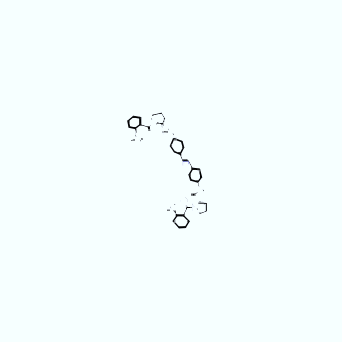 CN(C)c1ccccc1C(=O)N1CCC[C@H]1C(=O)Nc1ccc(/C=C/c2ccc(NC(=O)[C@@H]3CCCN3C(=O)c3ccccc3N(C)C)cc2)cc1